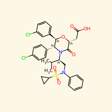 CC(C)[C@H](CN(c1ccccc1)S(=O)(=O)C1CC1)N1C(=O)[C@@H](CC(=O)O)O[C@H](c2cccc(Cl)c2)[C@H]1c1ccc(Cl)cc1